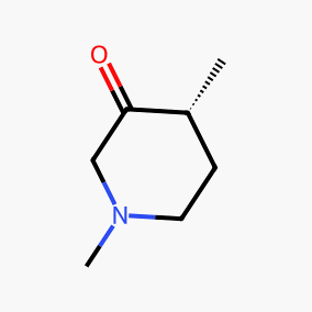 C[C@@H]1CCN(C)CC1=O